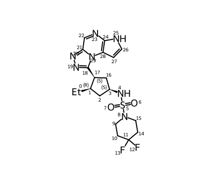 CC[C@@H]1C[C@H](NS(=O)(=O)N2CCC(F)(F)CC2)C[C@@H]1c1nnc2cnc3[nH]ccc3n12